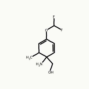 CC1C=C(OC(F)F)C=CC1(N)CO